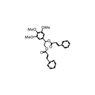 COc1cc(C(COC(=O)/C=C/c2ccccc2)OC(=O)/C=C/c2ccccc2)cc(OC)c1OC